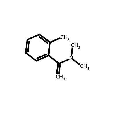 C=C(c1ccccc1C)N(C)C